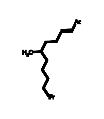 CC(=O)C=CCCC(C)CCCCC(C)C